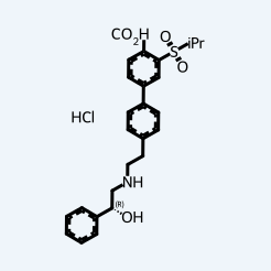 CC(C)S(=O)(=O)c1cc(-c2ccc(CCNC[C@H](O)c3ccccc3)cc2)ccc1C(=O)O.Cl